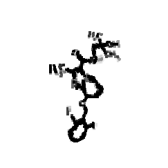 Cc1nc2c(OCc3c(F)cccc3F)cccn2c1C(=O)NCC(C)(C)O